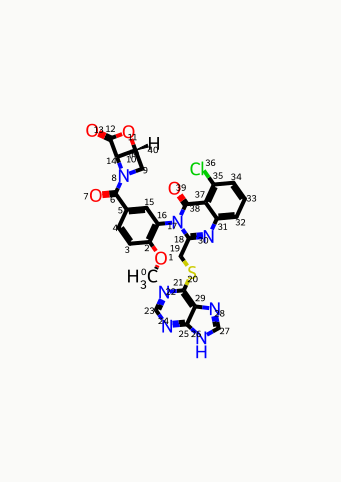 COc1ccc(C(=O)N2C[C@H]3OC(=O)C32)cc1-n1c(CSc2ncnc3[nH]cnc23)nc2cccc(Cl)c2c1=O